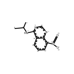 CC(C)Nc1ncnc2c([N+](=O)[O-])cccc12